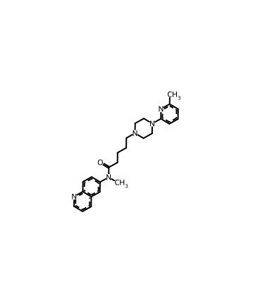 Cc1cccc(N2CCN(CCCCC(=O)N(C)c3ccc4ncccc4c3)CC2)n1